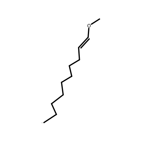 [CH2]CCCCCCC/C=C/OC